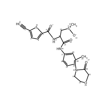 C#Cc1ccc(C(=O)NC(C[S+](C)[O-])C(=O)Nc2ccc(N3CCOCC3=O)c(C)c2)s1